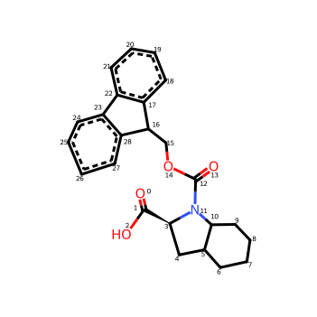 O=C(O)[C@@H]1CC2CCCCC2N1C(=O)OCC1c2ccccc2-c2ccccc21